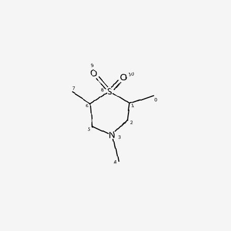 CC1CN(C)CC(C)S1(=O)=O